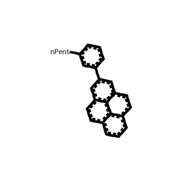 CCCCCc1cccc(-c2cc3ccc4cccc5ccc(c2)c3c45)c1